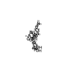 CC(=O)N1CC[C@H]2CC[C@@H](C(=O)N(C)c3ccc(OCCN(C)C)cc3)N2C(=O)[C@@H](NC(=O)c2cc3cc(C(F)(F)P(O)O)ccc3s2)C1